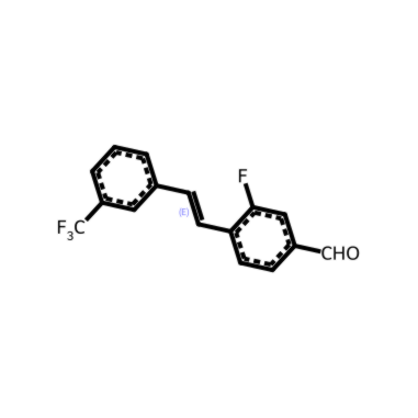 O=Cc1ccc(/C=C/c2cccc(C(F)(F)F)c2)c(F)c1